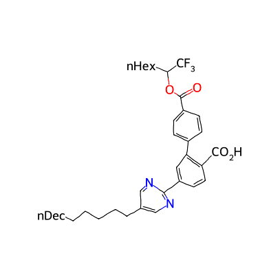 CCCCCCCCCCCCCCCc1cnc(-c2ccc(C(=O)O)c(-c3ccc(C(=O)OC(CCCCCC)C(F)(F)F)cc3)c2)nc1